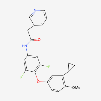 COc1ccc(Oc2c(F)cc(NC(=O)Cc3cccnc3)cc2F)cc1C1CC1